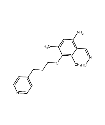 Cc1cc(N)c(/C=N\O)c(C)c1OCCCc1ccncc1